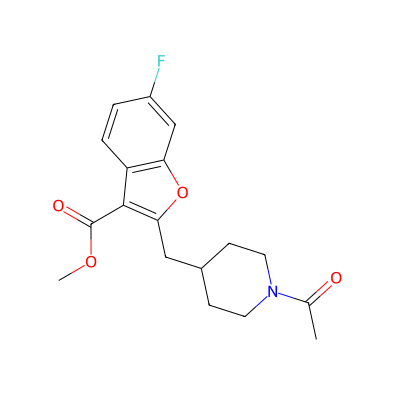 COC(=O)c1c(CC2CCN(C(C)=O)CC2)oc2cc(F)ccc12